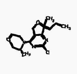 CCCC1(C)OCc2c(N3CCOC[C@@H]3C)nc(Cl)nc21